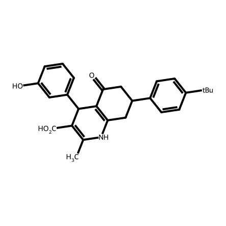 CC1=C(C(=O)O)C(c2cccc(O)c2)C2=C(CC(c3ccc(C(C)(C)C)cc3)CC2=O)N1